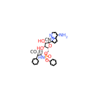 CCOC(=O)[C@H](Cc1ccccc1)NP(=O)(OC[C@H]1O[C@@](C#N)(c2ccc3c(N)ccnn23)[C@H](O)[C@@H]1O)Oc1ccccc1